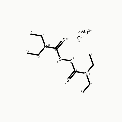 CCN(CC)C(=S)SSC(=S)N(CC)CC.[Mg+2].[O-2]